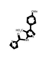 COc1ccc(-c2csc(NC(=O)c3cccs3)c2C(=O)O)cc1